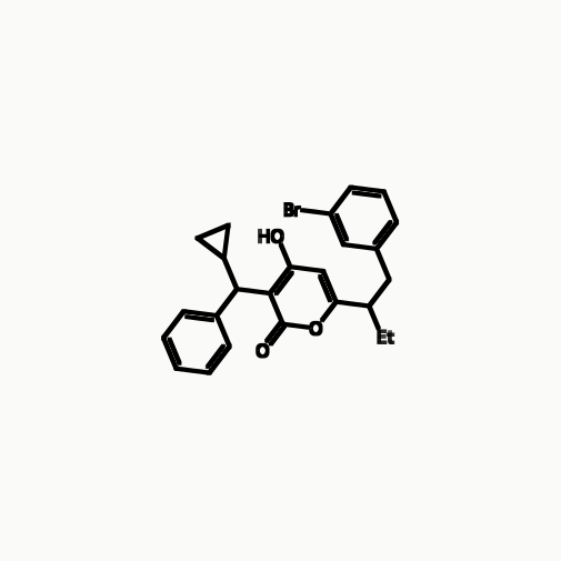 CCC(Cc1cccc(Br)c1)c1cc(O)c(C(c2ccccc2)C2CC2)c(=O)o1